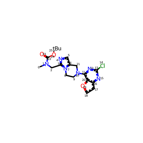 CN(Cc1ncc2n1CCN(c1nc(Cl)nc3ccoc13)C2)C(=O)OC(C)(C)C